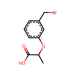 CC(Oc1cccc(CBr)c1)C(=O)O